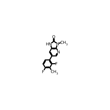 Cc1c(F)ccc(-c2cnc3c(c2)[nH]c(=O)n3C)c1F